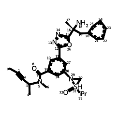 CC#CC(C)N(C)C(=O)c1cc(-c2nnc([C@](C)(N)Cc3ccccc3)o2)cc(N2C[SH]2(=O)C(C)C)c1